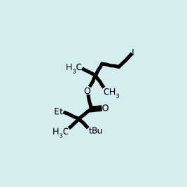 CCC(C)(C(=O)OC(C)(C)CCI)C(C)(C)C